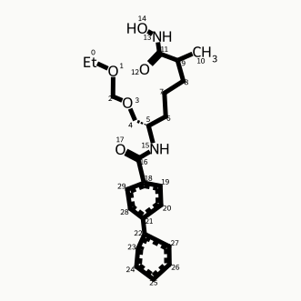 CCOCOC[C@H](CCCC(C)C(=O)NO)NC(=O)c1ccc(-c2ccccc2)cc1